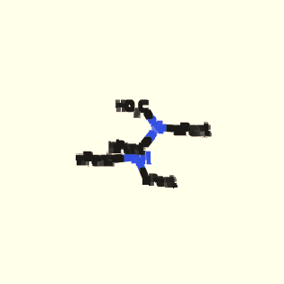 CCCCCN(CCCCC)C(=O)O.CCCCCNCCCCC